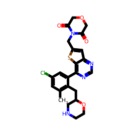 Cc1cc(Cl)cc(-c2ncnc3cc(CN4C(=O)COCC4=O)sc23)c1CC1CNCCO1